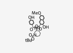 COc1ccc2cc(O)c(C(=O)OC3CCCN(C(=O)OC(C)(C)C)CC3NC(=O)c3ccc(O)cc3)cc2c1